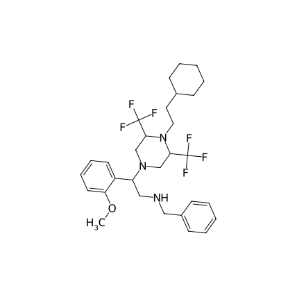 COc1ccccc1C(CNCc1ccccc1)N1CC(C(F)(F)F)N(CCC2CCCCC2)C(C(F)(F)F)C1